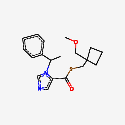 COCC1(CSC(=O)c2cncn2C(C)c2ccccc2)CCC1